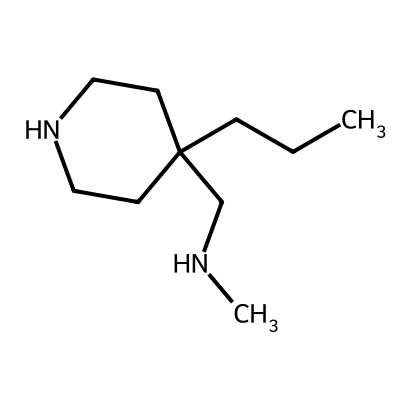 CCCC1(CNC)CCNCC1